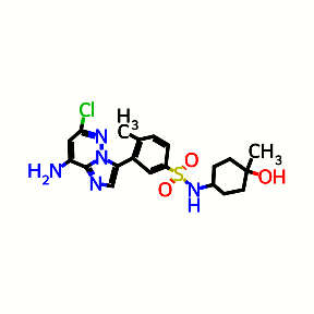 Cc1ccc(S(=O)(=O)NC2CCC(C)(O)CC2)cc1-c1cnc2c(N)cc(Cl)nn12